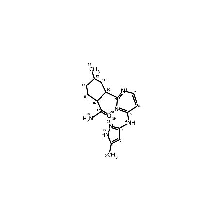 Cc1cc(Nc2ccnc(C3CC(C)CCC3C(N)=O)n2)n[nH]1